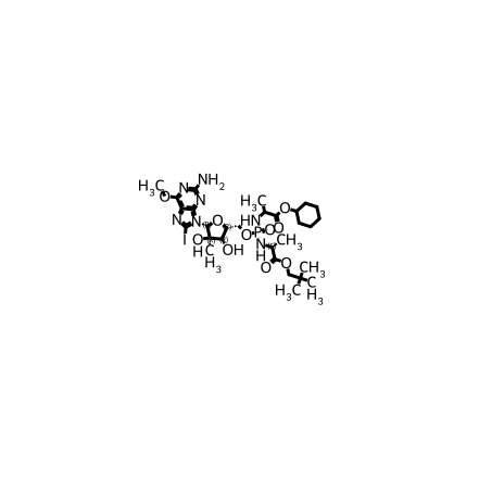 COc1nc(N)nc2c1nc(I)n2[C@@H]1O[C@H](COP(=O)(NC(C)C(=O)OC2CCCCC2)N[C@@H](C)C(=O)OCC(C)(C)C)[C@@H](O)[C@@]1(C)O